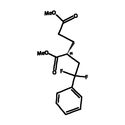 COC(=O)CC[C@H](CC(F)(F)c1ccccc1)C(=O)OC